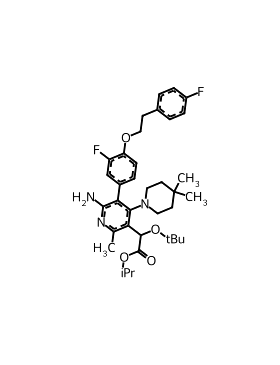 Cc1nc(N)c(-c2ccc(OCCc3ccc(F)cc3)c(F)c2)c(N2CCC(C)(C)CC2)c1C(OC(C)(C)C)C(=O)OC(C)C